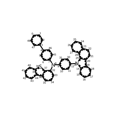 c1ccc(-c2ccc(N(c3ccc(-n4c5ccccc5c5ccc6ccccc6c54)cc3)c3cccc4c3sc3ccccc34)cc2)cc1